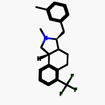 Cc1cccc(C[C@@H]2C3CCc4c(cccc4C(F)(F)F)[C@@H]3CN2C)c1